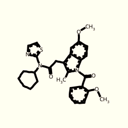 COc1ccc2c(c1)c(CC(=O)N(c1nccs1)C1CCCCC1)c(C)n2C(=O)c1ccccc1OC